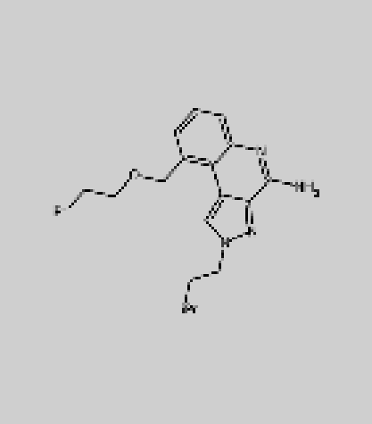 CC(C)CCOCc1cccc2nc(N)c3nn(CCC(C)C)cc3c12